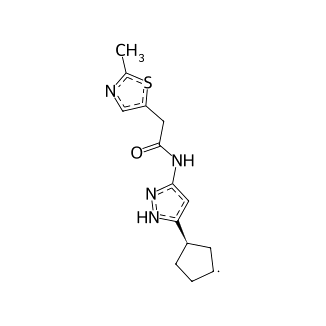 Cc1ncc(CC(=O)Nc2cc([C@H]3C[CH]CC3)[nH]n2)s1